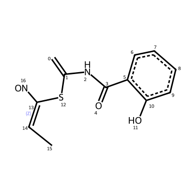 C=C(NC(=O)c1ccccc1O)S/C(=C\C)N=O